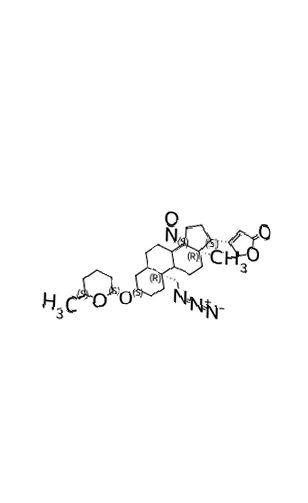 C[C@H]1CCC[C@H](O[C@H]2CC[C@@]3(CN=[N+]=[N-])C(CCC4C3CC[C@]3(C)[C@@H](C5=CC(=O)OC5)CC[C@]43N=O)C2)O1